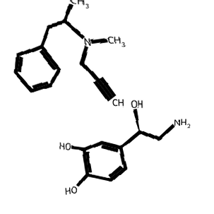 C#CCN(C)C(C)Cc1ccccc1.NC[C@H](O)c1ccc(O)c(O)c1